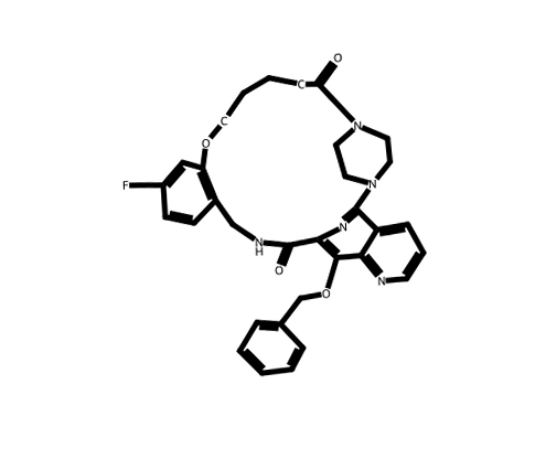 O=C1NCc2ccc(F)cc2OCCCCC(=O)N2CCN(CC2)c2nc1c(OCc1ccccc1)c1ncccc21